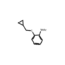 CC(=O)Nc1cc[c]cc1OCC1CC1